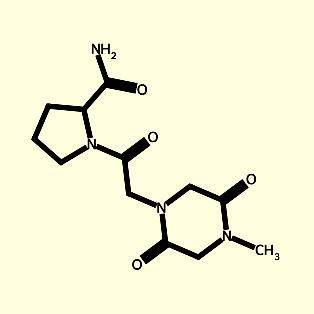 CN1CC(=O)N(CC(=O)N2CCCC2C(N)=O)CC1=O